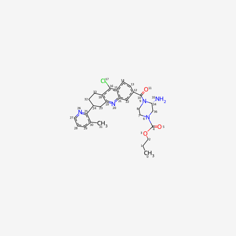 CCCOC(=O)N1CCN(C(=O)c2ccc3c(Cl)c4c(nc3c2)CC(c2ncccc2C)CC4)[C@H](N)C1